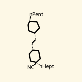 CCCCCCC[C@]1(C#N)CC[C@H](CC[C@H]2CC[C@H](CCCCC)CC2)CC1